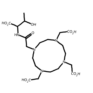 CC(O)C(NC(=O)CN1CCN(CC(=O)O)CCN(CC(=O)O)CCN(CC(=O)O)CC1)C(=O)O